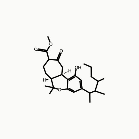 CCCC(C)C(C)C(C)c1cc(O)c2c(c1)OC(C)(C)[C@H]1CCC(C(=O)OC)C(=O)C[C@@H]21